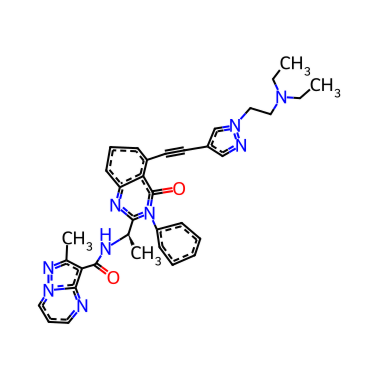 CCN(CC)CCn1cc(C#Cc2cccc3nc([C@@H](C)NC(=O)c4c(C)nn5cccnc45)n(-c4ccccc4)c(=O)c23)cn1